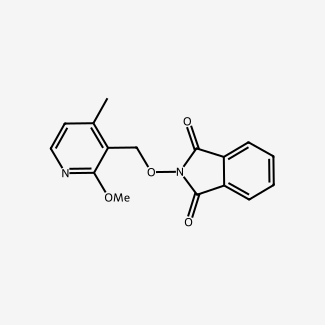 COc1nccc(C)c1CON1C(=O)c2ccccc2C1=O